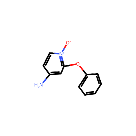 Nc1cc[n+]([O-])c(Oc2ccccc2)c1